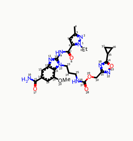 CCn1nc(C)cc1C(=O)Nc1nc2cc(C(N)=O)cc(OC)c2n1CCCNC(=O)OCc1noc(C2CC2)n1